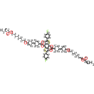 C=CC(=O)OCCCCCCCCOC1CCC(C2CCC(C(=O)Oc3c4cc(-c5ccc(F)cc5)sc4c(OC(=O)C4CCC(C5CCC(OCCCCCCCCOC(=O)C=C)CC5)CC4)c4cc(-c5ccc(F)cc5)sc34)CC2)CC1